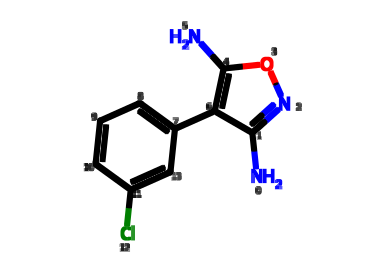 Nc1noc(N)c1-c1cccc(Cl)c1